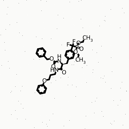 CCOP(=O)(OCC)C(F)(F)c1ccc(C[C@H](NC(=O)OCc2ccccc2)C(=O)NCCCOc2ccccc2)cc1